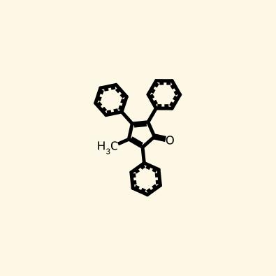 CC1=C(c2ccccc2)C(=O)C(c2ccccc2)=C1c1ccccc1